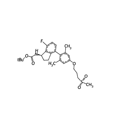 Cc1cc(OCCCS(C)(=O)=O)cc(C)c1-c1ccc(F)c2c1CC[C@H]2NC(=O)OC(C)(C)C